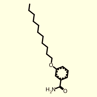 CCCCCCCCCCCOc1cccc(C(N)=O)c1